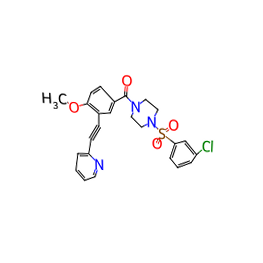 COc1ccc(C(=O)N2CCN(S(=O)(=O)c3cccc(Cl)c3)CC2)cc1C#Cc1ccccn1